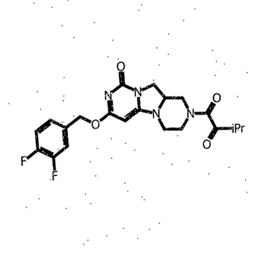 CC(C)C(=O)C(=O)N1CCN2c3cc(OCc4ccc(F)c(F)c4)nc(=O)n3CC2C1